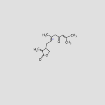 C=C1C(=O)OCC1C/C=C(\C)CC(=O)C=C(C)C